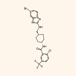 O=C(N[C@H]1CC[C@H](CNc2nc3ccc(Br)cn3n2)CC1)c1cc(C(F)(F)F)ccc1Cl